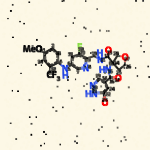 COc1ccc(Nc2cnc(CNC(=O)[C@]3(NC(=O)c4cn[nH]c(=O)c4)CCOC3)c(F)c2)c(C(F)(F)F)c1